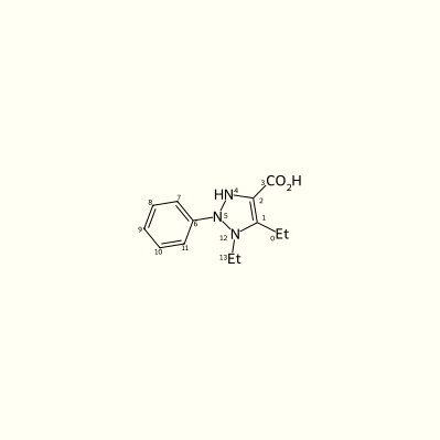 CCC1=C(C(=O)O)NN(c2ccccc2)N1CC